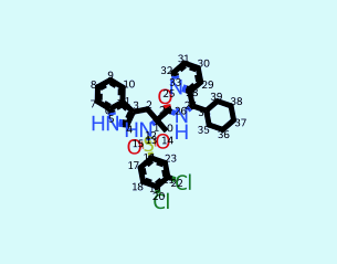 CC(Cc1c[nH]c2ccccc12)(NS(=O)(=O)c1ccc(Cl)c(Cl)c1)C(=O)NC(c1ccccn1)C1CCCCC1